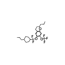 CCCC1CCC(C(F)(F)Oc2cc3c(cc2OC(F)(F)F)OC(CCC)CC3)CC1